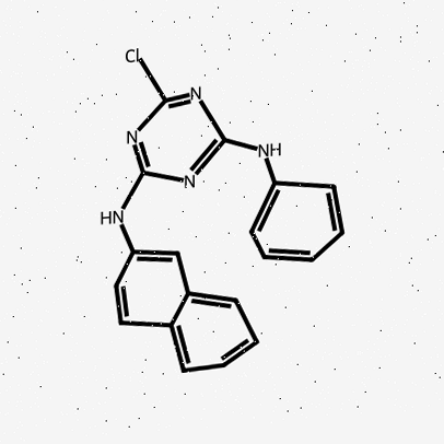 Clc1nc(Nc2ccccc2)nc(Nc2ccc3ccccc3c2)n1